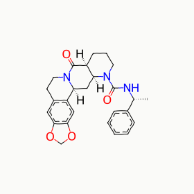 C[C@@H](NC(=O)N1CCC[C@@H]2C(=O)N3CCc4cc5c(cc4[C@@H]3C[C@@H]21)OCO5)c1ccccc1